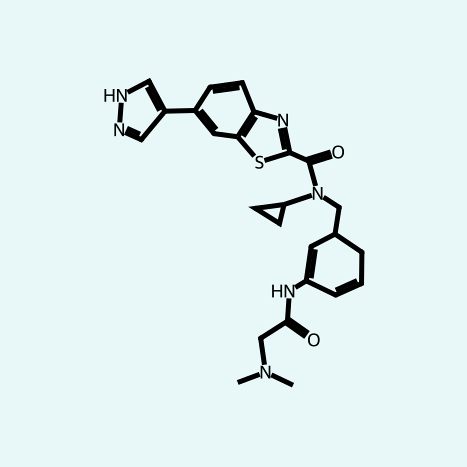 CN(C)CC(=O)NC1=CC(CN(C(=O)c2nc3ccc(-c4cn[nH]c4)cc3s2)C2CC2)CC=C1